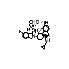 O=CCS(=O)(=O)OC1c2cc(F)ccc2CN1[C@@H]1CC[C@@]2(O)[C@H]3Cc4ccc(O)c5c4[C@@]2(CCN3CC2CC2)[C@H]1O5